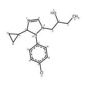 CCC(O)CN1C=NC(C2CC2)N1c1ccc(Cl)cc1